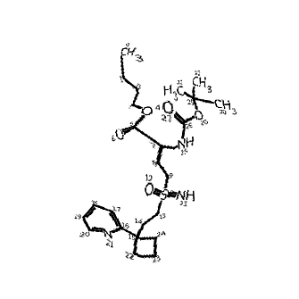 CCCCOC(=O)C(CCS(=N)(=O)CCC1(c2ccccn2)CCC1)NC(=O)OC(C)(C)C